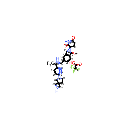 O=C(O)C(F)(F)F.O=C1CCC(N2Cc3cc(CNC(c4ccc(N5CCC6(CNC6)C5)nn4)C(F)(F)F)ccc3C2=O)C(=O)N1